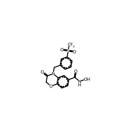 O=C(NO)c1ccc2c(c1)N(Cc1cccc(S(=O)(=O)C(F)(F)F)c1)C(=O)CO2